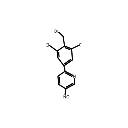 O=Nc1ccc(-c2cc(Cl)c(CBr)c(Cl)c2)nc1